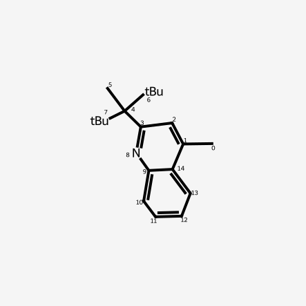 Cc1cc(C(C)(C(C)(C)C)C(C)(C)C)nc2ccccc12